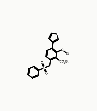 CCOC(=O)c1c(CS(=O)(=O)c2ccccc2)ccc(-c2ccoc2)c1OCC